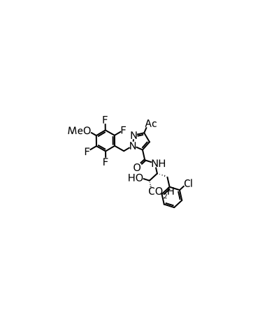 COc1c(F)c(F)c(Cn2nc(C(C)=O)cc2C(=O)N[C@H](Cc2ccccc2Cl)[C@@H](O)C(=O)O)c(F)c1F